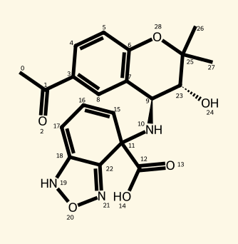 CC(=O)c1ccc2c(c1)[C@H](NC1(C(=O)O)C=CC=C3NON=C31)[C@@H](O)C(C)(C)O2